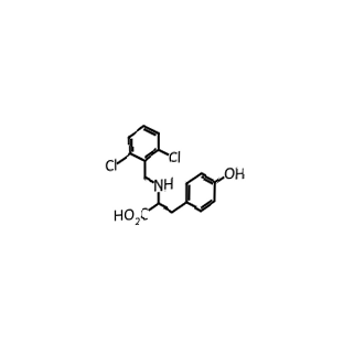 O=C(O)C(Cc1ccc(O)cc1)NCc1c(Cl)cccc1Cl